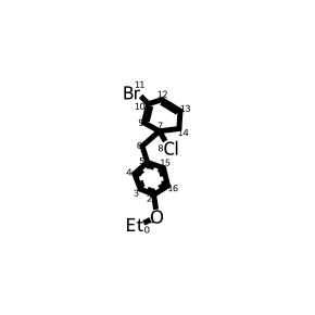 CCOc1ccc(CC2(Cl)C=C(Br)C=CC2)cc1